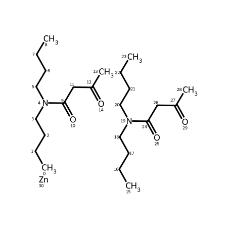 CCCCN(CCCC)C(=O)CC(C)=O.CCCCN(CCCC)C(=O)CC(C)=O.[Zn]